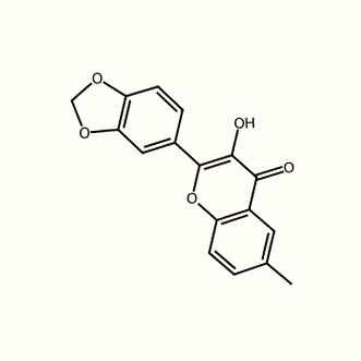 Cc1ccc2oc(-c3ccc4c(c3)OCO4)c(O)c(=O)c2c1